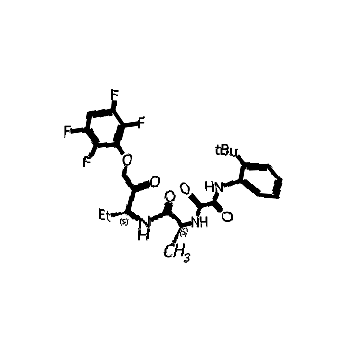 CC[C@H](NC(=O)[C@H](C)NC(=O)C(=O)Nc1ccccc1C(C)(C)C)C(=O)COc1c(F)c(F)cc(F)c1F